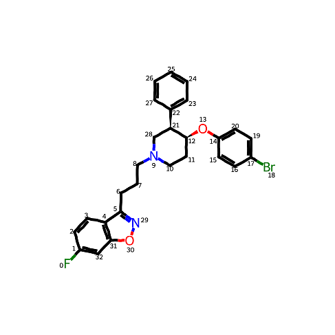 Fc1ccc2c(CCCN3CC[C@H](Oc4ccc(Br)cc4)[C@H](c4ccccc4)C3)noc2c1